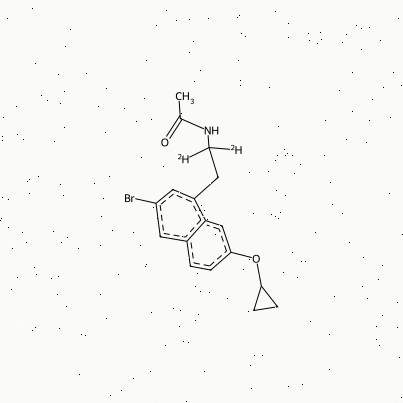 [2H]C([2H])(Cc1cc(Br)cc2ccc(OC3CC3)cc12)NC(C)=O